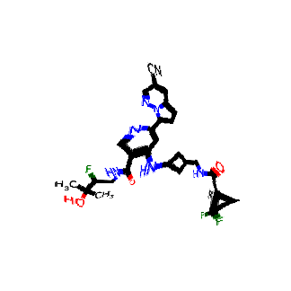 CC(C)(O)C(F)CNC(=O)c1cnc(-c2ccc3cc(C#N)cnn23)cc1NC1CC(CNC(=O)[C@H]2CC2(F)F)C1